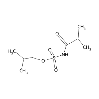 CC(C)COS(=O)(=O)NC(=O)C(C)C